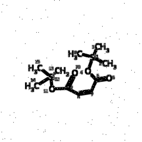 C[Si](C)(C)OC(=O)/C=C\C(=O)O[Si](C)(C)C